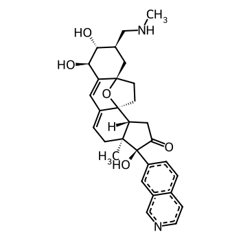 CNC[C@H]1C[C@@]23CC[C@@]4(O2)C(=CC[C@@]2(C)[C@H]4CC(=O)[C@]2(O)c2ccc4ccncc4c2)C=C3[C@@H](O)[C@@H]1O